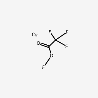 O=C(OF)C(F)(F)F.[Cu]